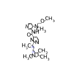 C=c1c(C)cn(C)/c1=C/C=C(\C)c1nccc(C(=O)Nc2cnccc2N(C)CCOCC)n1